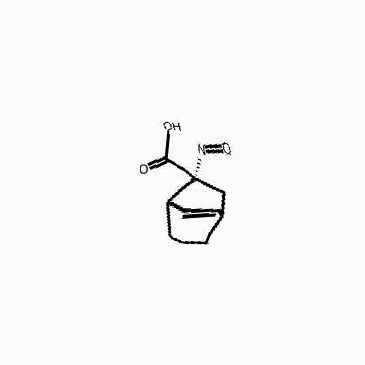 O=N[C@]1(C(=O)O)CC2C=CC1CC2